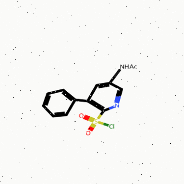 CC(=O)Nc1cnc(S(=O)(=O)Cl)c(-c2ccccc2)c1